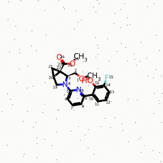 COC[C@H]1N(c2cccc(-c3cccc(F)c3O)n2)CC2C[C@@]21C(=O)OC